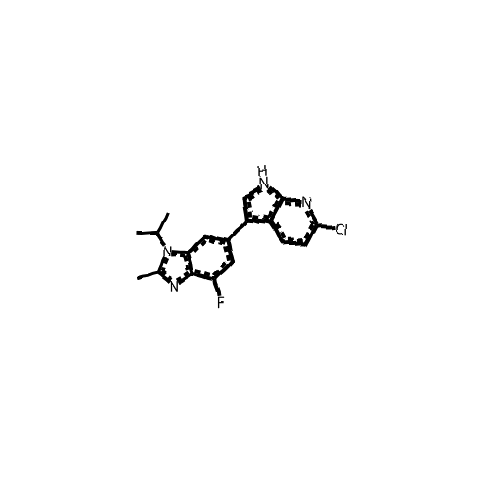 Cc1nc2c(F)cc(-c3c[nH]c4nc(Cl)ccc34)cc2n1C(C)C